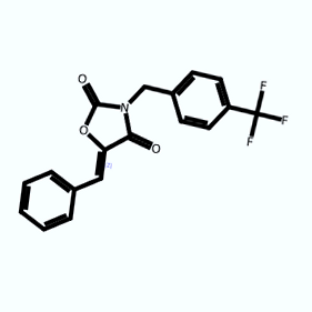 O=C1O/C(=C\c2ccccc2)C(=O)N1Cc1ccc(C(F)(F)F)cc1